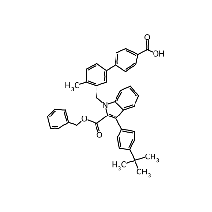 Cc1ccc(-c2ccc(C(=O)O)cc2)cc1Cn1c(C(=O)OCc2ccccc2)c(-c2ccc(C(C)(C)C)cc2)c2ccccc21